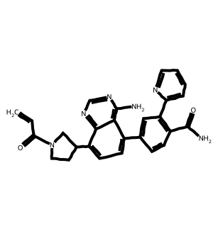 C=CC(=O)N1CCC(c2ccc(-c3ccc(C(N)=O)c(-c4ccccn4)c3)c3c(N)ncnc23)C1